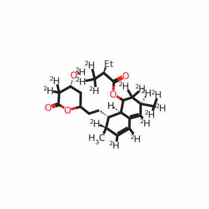 [2H]O[C@@H]1CC(CC[C@@H]2[C@@H]3C(=C([2H])[C@]([2H])(C([2H])([2H])[2H])C([2H])([2H])C3OC(=O)[C@H](CC)C([2H])([2H])[2H])C([2H])=C([2H])[C@]2([2H])C)OC(=O)C1([2H])[2H]